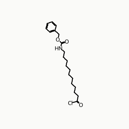 O=C(Cl)CCCCCCCCCCCNC(=O)OCc1ccccc1